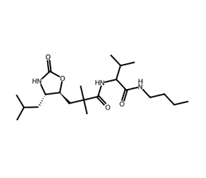 CCCCNC(=O)C(NC(=O)C(C)(C)C[C@@H]1OC(=O)N[C@H]1CC(C)C)C(C)C